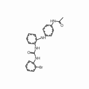 CC(=O)Nc1ccc(Nc2ccccc2NC(=O)Nc2ccccc2Br)cc1